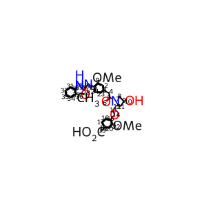 COc1cc(CC(=O)N2C[C@H](O)C[C@H]2COc2ccc(C(=O)O)cc2OC)ccc1NC(=O)Nc1ccccc1C